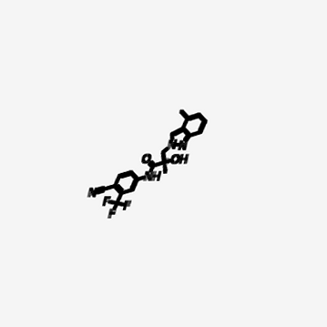 Cc1cccc2nn(C[C@](C)(O)C(=O)Nc3ccc(C#N)c(C(F)(F)F)c3)cc12